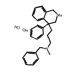 CN(CCCC1(c2ccccc2)CNCc2ccccc21)Cc1ccccc1.Cl.Cl